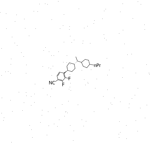 CCCC1CCC(C(C)[C@H]2CC[C@H](c3ccc(C#N)c(F)c3F)CC2)CC1